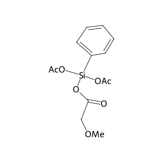 COCC(=O)O[Si](OC(C)=O)(OC(C)=O)c1ccccc1